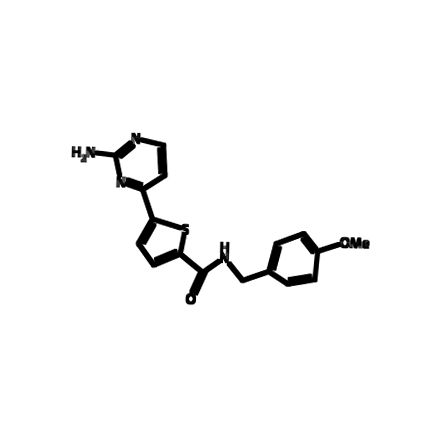 COc1ccc(CNC(=O)c2ccc(-c3ccnc(N)n3)s2)cc1